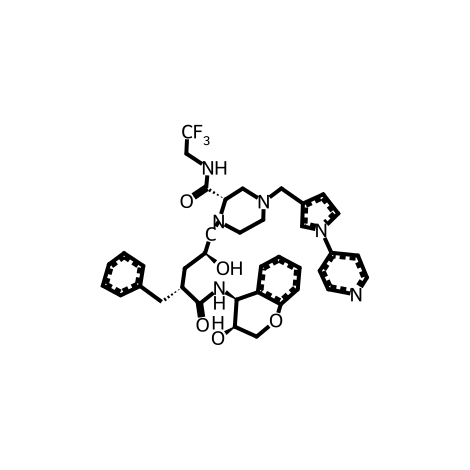 O=C(N[C@H]1c2ccccc2OC[C@H]1O)[C@H](Cc1ccccc1)C[C@H](O)CN1CCN(Cc2ccn(-c3ccncc3)c2)C[C@H]1C(=O)NCC(F)(F)F